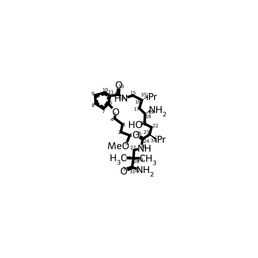 COCCCCOc1ccccc1C(=O)NC[C@@H](C[C@H](N)[C@@H](O)C[C@H](C(=O)NCC(C)(C)C(N)=O)C(C)C)C(C)C